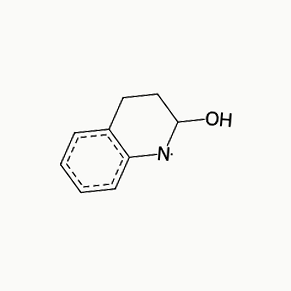 OC1CCc2ccccc2[N]1